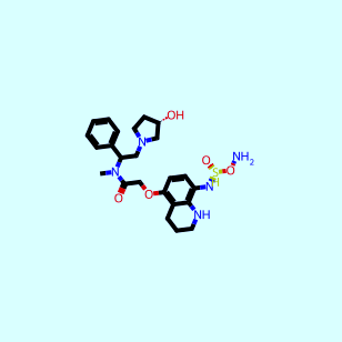 CN(C(=O)COc1ccc(N=[SH](=O)ON)c2c1CCCN2)C(CN1CC[C@H](O)C1)c1ccccc1